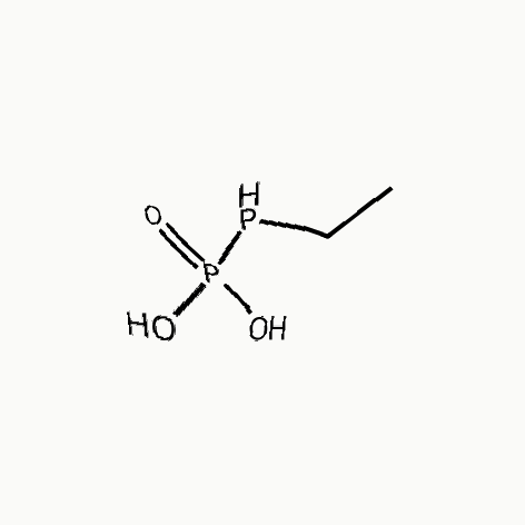 CCPP(=O)(O)O